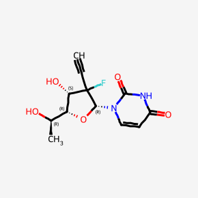 C#CC1(F)[C@@H](O)[C@@H]([C@@H](C)O)O[C@H]1n1ccc(=O)[nH]c1=O